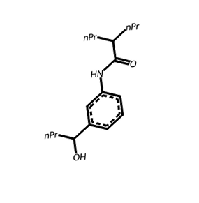 CCCC(CCC)C(=O)Nc1cccc(C(O)CCC)c1